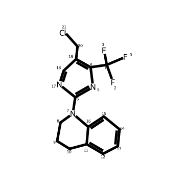 FC(F)(F)c1nc(N2CCCc3ccccc32)ncc1CCl